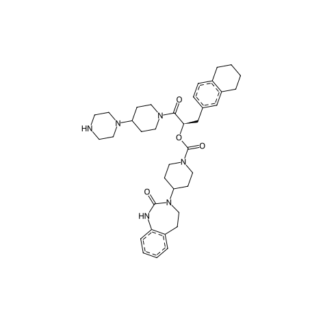 O=C(O[C@H](Cc1ccc2c(c1)CCCC2)C(=O)N1CCC(N2CCNCC2)CC1)N1CCC(N2CCc3ccccc3NC2=O)CC1